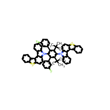 CC(C)(C)c1c(-c2cccc(F)c2)c(-n2c3ccccc3c3c4c(ccc32)sc2ccccc24)c(-c2cccc(F)c2)c(C(C)(C)C)c1-n1c2ccccc2c2c3c(ccc21)sc1ccccc13